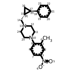 Cc1cc([N+](=O)[O-])ccc1N1CCN(C[C@@H]2C[C@H]2c2ccccc2)CC1